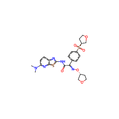 CN(C)c1ccc2nc(NC(=O)/C(=N/O[C@@H]3CCOC3)c3ccc(S(=O)(=O)[C@H]4CCOC4)cc3)sc2n1